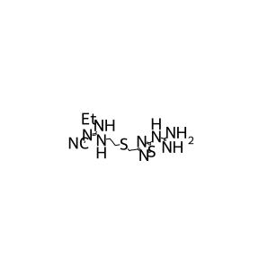 CCN/C(=N/C#N)NCCSCc1nsc(NC(=N)N)n1